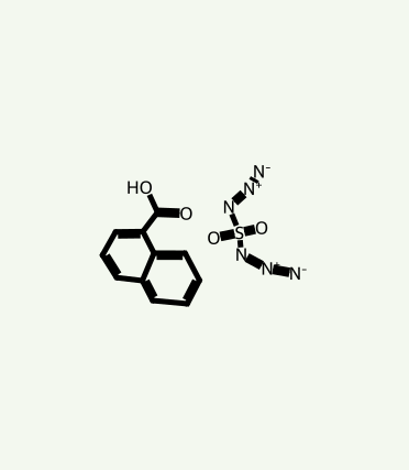 O=C(O)c1cccc2ccccc12.[N-]=[N+]=NS(=O)(=O)N=[N+]=[N-]